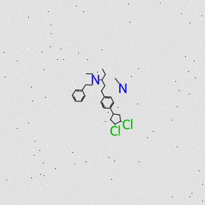 CC#N.CCC(CCc1ccc(C2CC(Cl)C(Cl)C2)cc1)N(CC)CCc1ccccc1